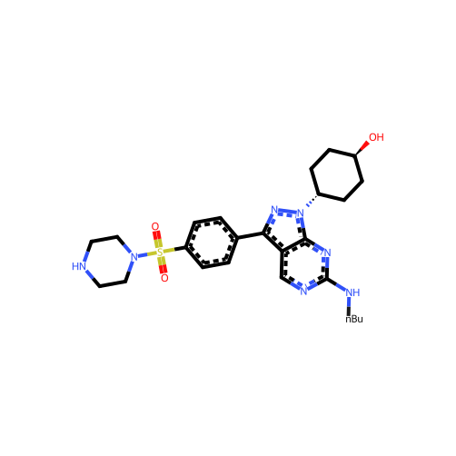 CCCCNc1ncc2c(-c3ccc(S(=O)(=O)N4CCNCC4)cc3)nn([C@H]3CC[C@H](O)CC3)c2n1